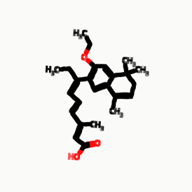 CCOc1cc2c(cc1\C(=C/C=C/C(C)=C/C(=O)O)CC)C(C)=CCC2(C)C